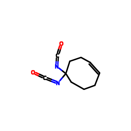 O=C=NC1(N=C=O)CCC=CCCC1